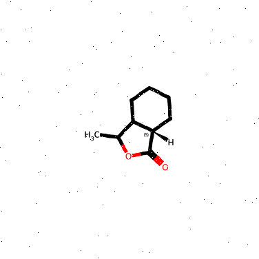 CC1OC(=O)[C@H]2CCCCC12